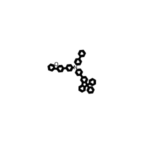 c1ccc(-c2ccc(N(c3ccc(-c4ccc5c(c4)-c4ccccc4C5(c4ccccc4)c4ccccc4)cc3)c3ccc(-c4ccc5c(c4)oc4ccccc45)cc3)cc2)cc1